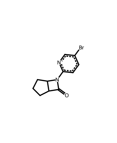 O=C1C2CCCC2N1c1ccc(Br)cn1